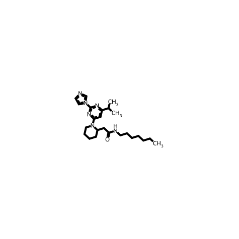 CCCCCCCNC(=O)CC1CCCCN1c1cc(C(C)C)nc(-n2ccnc2)n1